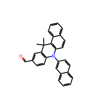 CC1(C)c2cc(C=O)ccc2N(c2ccc3ccccc3c2)c2ccc3ccccc3c21